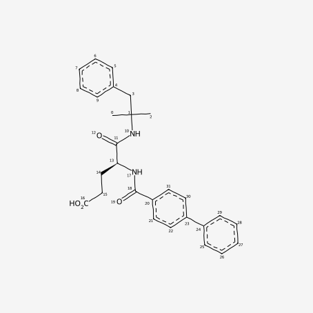 CC(C)(Cc1ccccc1)NC(=O)[C@H](CCC(=O)O)NC(=O)c1ccc(-c2ccccc2)cc1